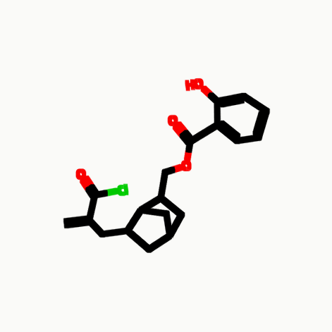 C=C(CC1CC2CC(COC(=O)c3ccccc3O)C1C2)C(=O)Cl